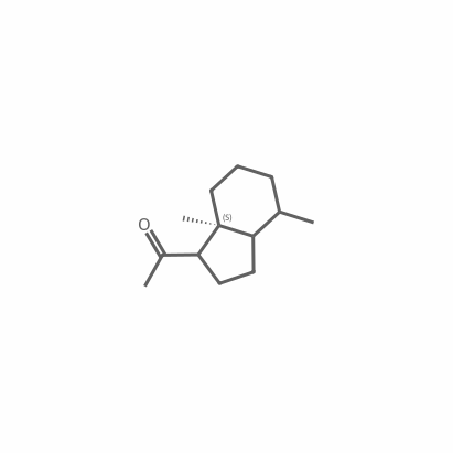 CC(=O)C1CCC2C(C)CCC[C@]12C